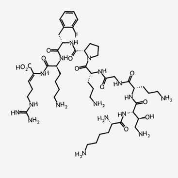 N=C(N)NCC/C=C(\NC(=O)[C@H](CCCCN)NC(=O)[C@H](Cc1ccccc1F)NC(=O)[C@@H]1CCCN1C(=O)[C@@H](CCCN)NC(=O)CNC(=O)[C@H](CCCN)NC(=O)[C@@H](NC(=O)[C@@H](N)CCCCN)[C@@H](O)CN)C(=O)O